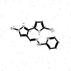 CCn1cc(C=NNc2ccccn2)c(-c2ccc([N+](=O)[O-])o2)n1